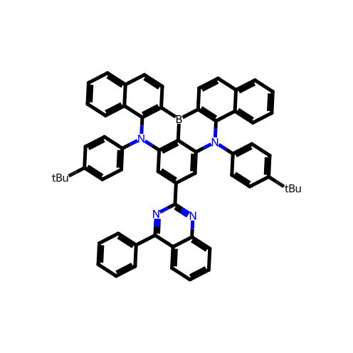 CC(C)(C)c1ccc(N2c3cc(-c4nc(-c5ccccc5)c5ccccc5n4)cc4c3B(c3ccc5ccccc5c32)c2ccc3ccccc3c2N4c2ccc(C(C)(C)C)cc2)cc1